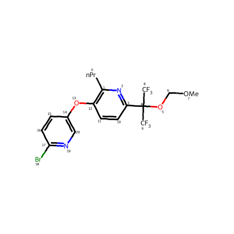 CCCc1nc(C(OCOC)(C(F)(F)F)C(F)(F)F)ccc1Oc1ccc(Br)nc1